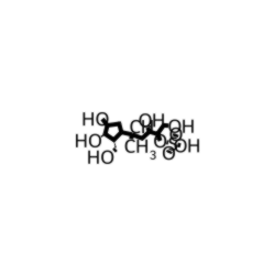 CC(C)(CC(O)C(CO)OS(=O)(=O)O)C1CC(O)[C@@H](O)[C@H]1CO